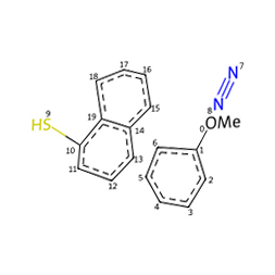 COc1ccccc1.N#N.Sc1cccc2ccccc12